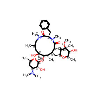 CO[C@]1(C)C[C@H](C[C@H]2[C@H](C)[C@@H](O[C@@H]3O[C@H](C)C[C@H](N(C)C)[C@H]3O)[C@](C)(O)C[C@@H](C)CN(C)C(=O)[C@@H](Cc3ccccc3)N(C)C(=O)[C@@H]2C)O[C@@H](C)[C@@H]1O